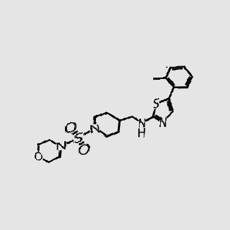 Cc1[c]cccc1-c1cnc(NCC2CCN(S(=O)(=O)N3CCOCC3)CC2)s1